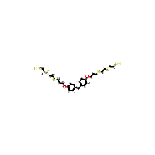 SCCSCCSCCCOc1ccc(Cc2ccc(OCCCSCCSCCS)cc2)cc1